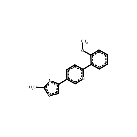 COc1ccccc1-c1ccc(-c2csc(C)n2)cn1